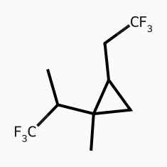 CC(C(F)(F)F)C1(C)CC1CC(F)(F)F